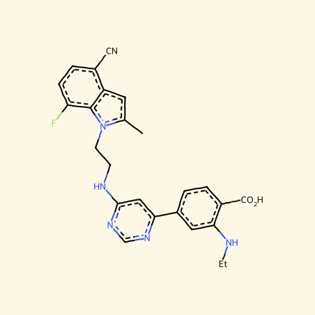 CCNc1cc(-c2cc(NCCn3c(C)cc4c(C#N)ccc(F)c43)ncn2)ccc1C(=O)O